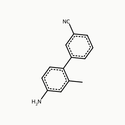 Cc1cc(N)ccc1-c1cccc(C#N)c1